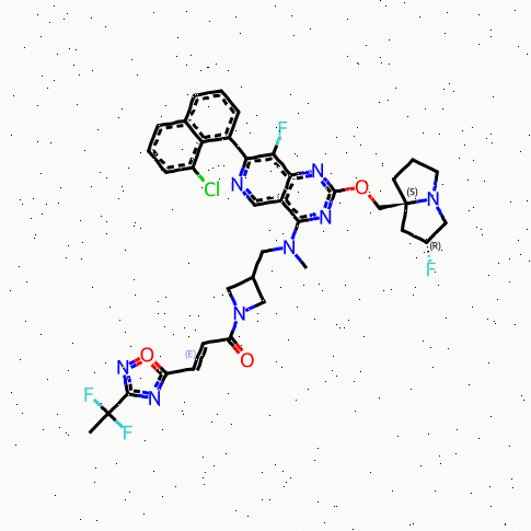 CN(CC1CN(C(=O)/C=C/c2nc(C(C)(F)F)no2)C1)c1nc(OC[C@@]23CCCN2C[C@H](F)C3)nc2c(F)c(-c3cccc4cccc(Cl)c34)ncc12